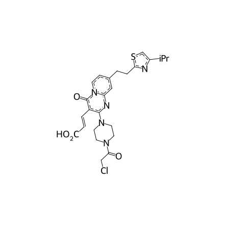 CC(C)c1csc(CCc2ccn3c(=O)c(C=CC(=O)O)c(N4CCN(C(=O)CCl)CC4)nc3c2)n1